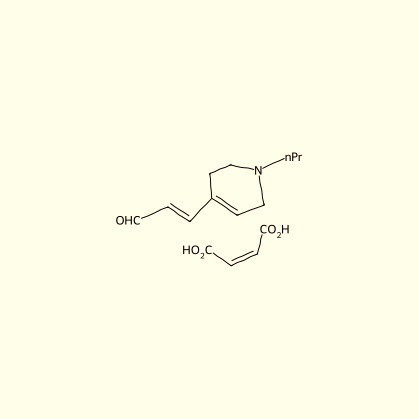 CCCN1CC=C(C=CC=O)CC1.O=C(O)/C=C\C(=O)O